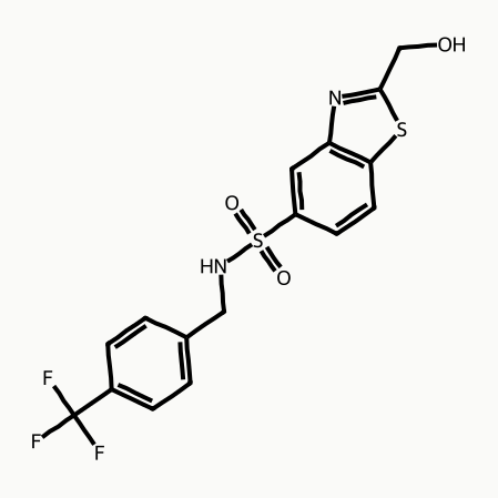 O=S(=O)(NCc1ccc(C(F)(F)F)cc1)c1ccc2sc(CO)nc2c1